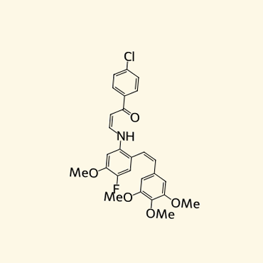 COc1cc(N/C=C\C(=O)c2ccc(Cl)cc2)c(/C=C\c2cc(OC)c(OC)c(OC)c2)cc1F